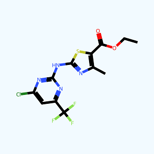 CCOC(=O)c1sc(Nc2nc(Cl)cc(C(F)(F)F)n2)nc1C